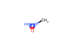 Cn1[nH]o1